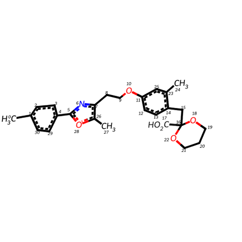 Cc1ccc(-c2nc(CCOc3ccc(CC4(C(=O)O)OCCCO4)c(C)c3)c(C)o2)cc1